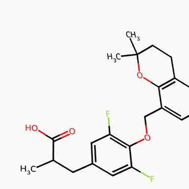 CC(Cc1cc(F)c(OCc2cccc3c2OC(C)(C)CC3)c(F)c1)C(=O)O